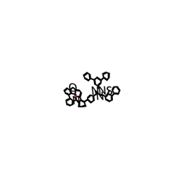 c1ccc(-c2cc(-c3ccccc3)cc(-c3nc(-c4ccc(-c5cccc6c5c5ccc7oc8cccc9c%10ccccc%10n6c5c7c89)cc4)nc(-c4cccc5c4sc4ccccc45)n3)c2)cc1